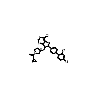 C=C(C1CC1)N1CC[C@@H](Cn2c(-c3ccc(-c4ccc(Cl)cc4Cl)cc3)nc3c(Cl)ncnc32)C1